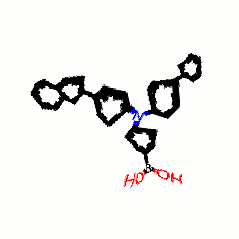 OB(O)c1ccc(N(c2ccc(-c3ccccc3)cc2)c2ccc(-c3ccc4ccccc4c3)cc2)cc1